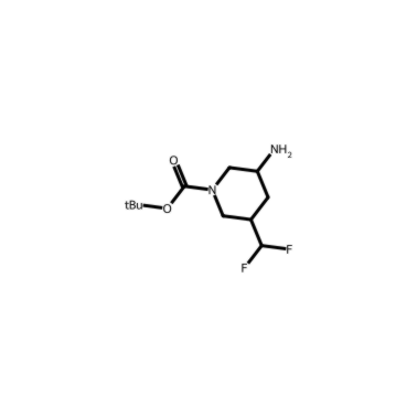 CC(C)(C)OC(=O)N1CC(N)CC(C(F)F)C1